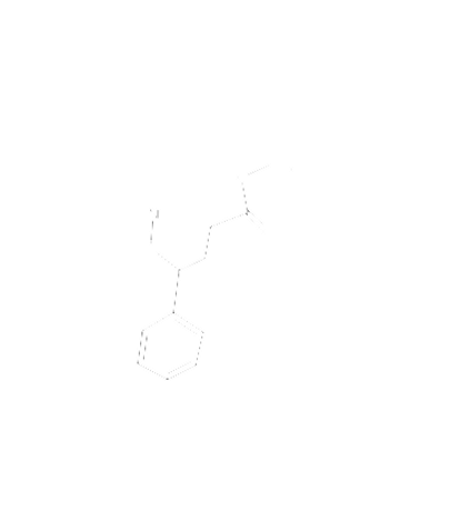 COC(=O)CCC(ON)c1ccccc1